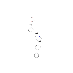 Cc1oc(=O)oc1C(C)(C(=O)O)c1cccc(-c2cc3cc(-c4ccc(-c5ccccc5)c(O)c4)c(Cl)cc3[nH]c2=O)c1